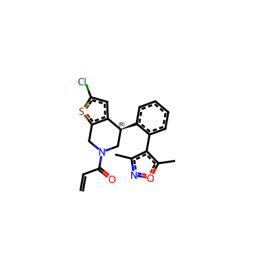 C=CC(=O)N1Cc2sc(Cl)cc2[C@@H](c2ccccc2-c2c(C)noc2C)C1